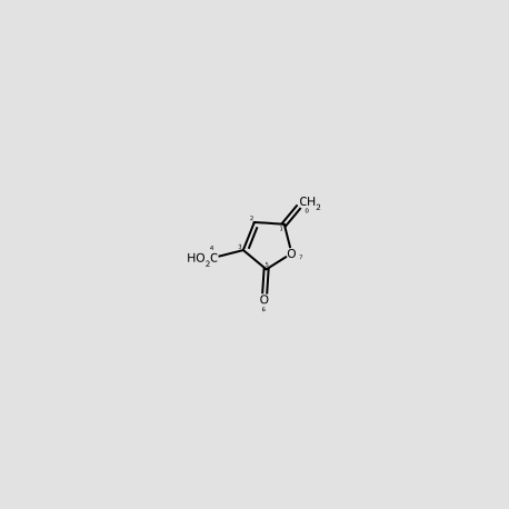 C=C1C=C(C(=O)O)C(=O)O1